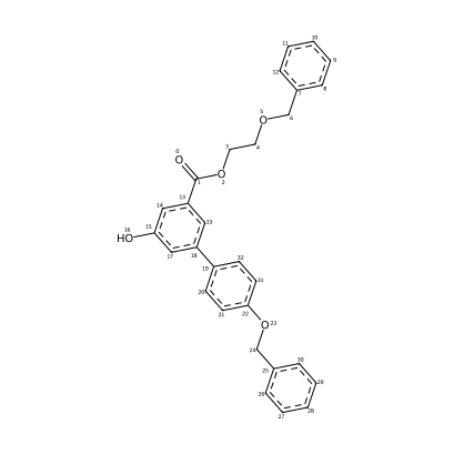 O=C(OCCOCc1ccccc1)c1cc(O)cc(-c2ccc(OCc3ccccc3)cc2)c1